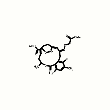 COC(=O)CO/N=C1\C=C(/NOCC(=O)OC)CC/C=C/CC(C)OC(=O)c2c(C)cc(C)c(Cl)c2C1